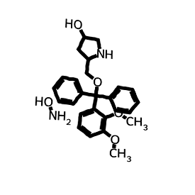 COc1cccc(C(OCC2CC(O)CN2)(c2ccccc2)c2ccccc2)c1OC.NO